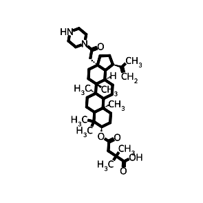 C=C(C)[C@@H]1CC[C@]2(CC(=O)N3CCNCC3)CC[C@]3(C)[C@H](CCC4[C@@]5(C)CC[C@H](OC(=O)CC(C)(C)C(=O)O)C(C)(C)C5CC[C@]43C)C12